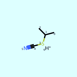 CC(C)SC#N.[H+]